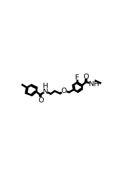 CCNC(=O)c1ccc(COCCCNC(=O)c2ccc(C)cc2)cc1F